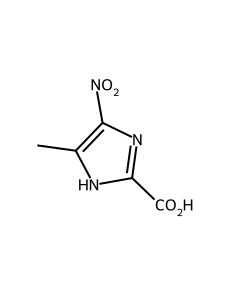 Cc1[nH]c(C(=O)O)nc1[N+](=O)[O-]